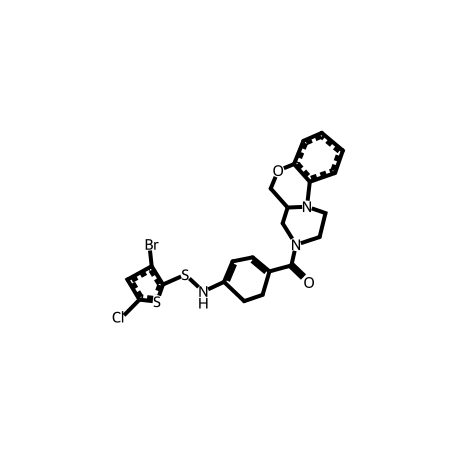 O=C(C1=CC=C(NSc2sc(Cl)cc2Br)CC1)N1CCN2c3ccccc3OCC2C1